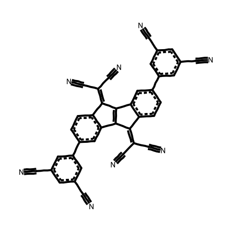 N#CC(C#N)=C1C2=C(C(=C(C#N)C#N)c3ccc(-c4cc(C#N)cc(C#N)c4)cc32)c2cc(-c3cc(C#N)cc(C#N)c3)ccc21